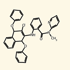 CN(C(=O)c1ccccc1NC1=C(Cl)C(Oc2ccccc2)c2ccccc2C1Oc1ccccc1)c1ccccn1